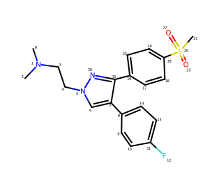 CN(C)CCn1cc(-c2ccc(F)cc2)c(-c2ccc(S(C)(=O)=O)cc2)n1